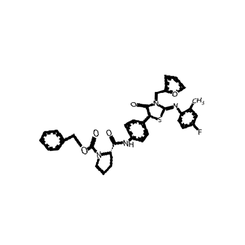 Cc1cc(F)ccc1/N=C1\SC(c2ccc(NC(=O)[C@@H]3CCCN3C(=O)OCc3ccccc3)cc2)C(=O)N1Cc1ccco1